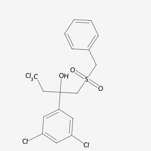 O=S(=O)(Cc1ccccc1)CC(O)(CC(Cl)(Cl)Cl)c1cc(Cl)cc(Cl)c1